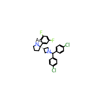 CC(=O)N1CCC[C@@]1(c1cc(F)cc(F)c1)C1CN(C(c2ccc(Cl)cc2)c2ccc(Cl)cc2)C1